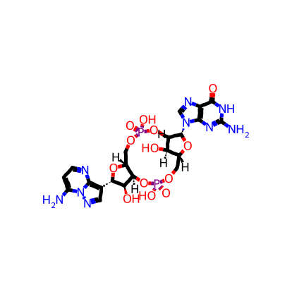 Nc1nc2c(ncn2[C@@H]2O[C@@H]3COP(=O)(O)O[C@H]4[C@@H](O)[C@H](c5cnn6c(N)ccnc56)O[C@@H]4COP(=O)(O)O[C@@H]2[C@@H]3O)c(=O)[nH]1